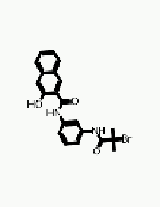 CC(C)(Br)C(=O)Nc1cccc(NC(=O)c2cc3ccccc3cc2O)c1